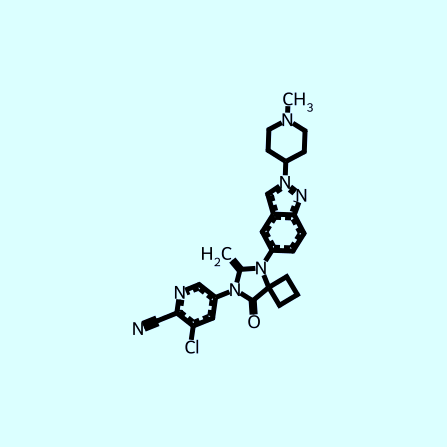 C=C1N(c2cnc(C#N)c(Cl)c2)C(=O)C2(CCC2)N1c1ccc2nn(C3CCN(C)CC3)cc2c1